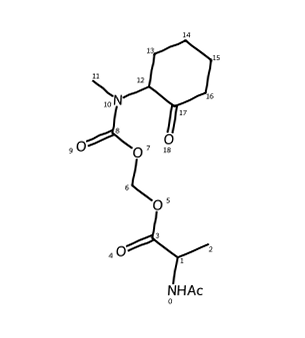 CC(=O)NC(C)C(=O)OCOC(=O)N(C)C1CCCCC1=O